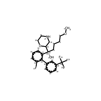 COCCCC[C@@](O)(c1cccc(F)c1-c1cccc(C(F)(F)F)c1)C1CNCCO1